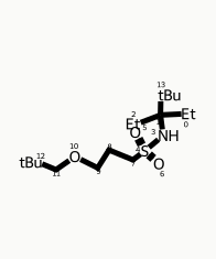 CCC(CC)(NS(=O)(=O)CCCOCC(C)(C)C)C(C)(C)C